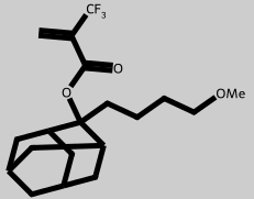 C=C(C(=O)OC1(CCCCOC)C2CC3CC(C2)CC1C3)C(F)(F)F